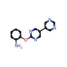 Nc1ccccc1Oc1ncc(-c2cncnc2)cn1